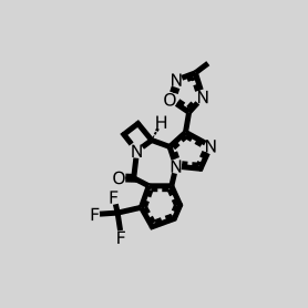 Cc1noc(-c2ncn3c2[C@@H]2CCN2C(=O)c2c-3cccc2C(F)(F)F)n1